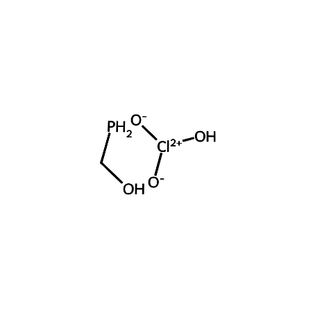 OCP.[O-][Cl+2]([O-])O